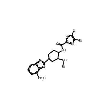 CCNC1CN(c2nc3cccc(C(=O)O)c3s2)CCC1NC(=O)c1nc(Cl)c(CC)[nH]1